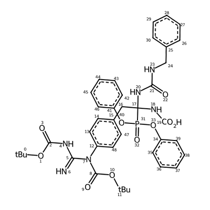 CC(C)(C)OC(=O)NC(=N)N(C(=O)OC(C)(C)C)c1ccc(CC(NC(=O)O)(NC(=O)NCc2ccccc2)P(=O)(Oc2ccccc2)Oc2ccccc2)cc1